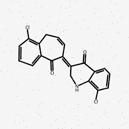 O=C1/C(=C2\CNc3c(Cl)cccc3C2=O)C=CCc2c(Cl)cccc21